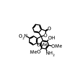 COc1ccc([N+](=O)[O-])cc1C1(c2cc(OC)c(N)c(OC)c2O)OC(=O)c2ccccc21